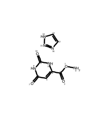 NOC(=O)c1cc(=O)[nH]c(=O)[nH]1.c1c[nH]nn1